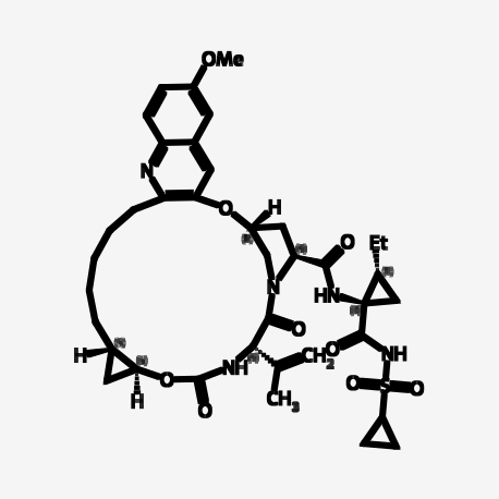 C=C(C)[C@@H]1NC(=O)O[C@H]2C[C@@H]2CCCCCc2nc3ccc(OC)cc3cc2O[C@@H]2C[C@@H](C(=O)N[C@]3(C(=O)NS(=O)(=O)C4CC4)C[C@H]3CC)N(C2)C1=O